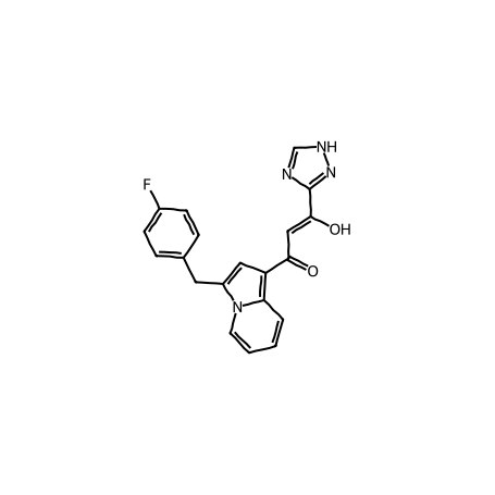 O=C(C=C(O)c1nc[nH]n1)c1cc(Cc2ccc(F)cc2)n2ccccc12